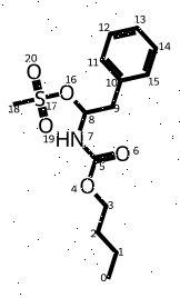 CCCCOC(=O)NC(Cc1ccccc1)OS(C)(=O)=O